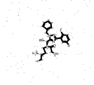 CC(C)(C)[C@H](c1nc(-c2cc(F)ccc2F)nn1Cc1ccccc1)N(CC[C@@H](N)CF)C(=O)CO